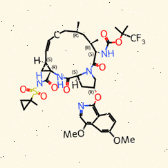 COc1ccc2c(O[C@@H]3C[C@H]4C(=O)N[C@]5(C(=O)NS(=O)(=O)C6(C)CC6)C[C@H]5C=CCC[C@@H](C)C[C@@H](C)[C@H](NC(=O)OC(C)(C)C(F)(F)F)C(=O)N4C3)ncc(OC)c2c1